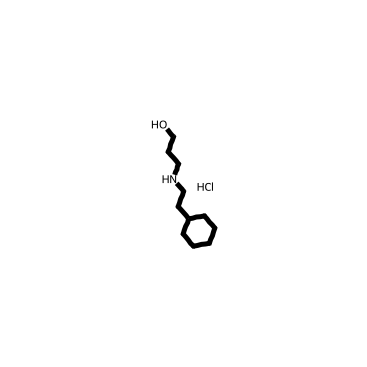 Cl.OCCCNCCC1CCCCC1